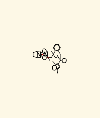 CCOC(=O)N1C2CCC1CC(N1CCC3(CC1)CN(C(=O)c1cc(C)oc1C)Cc1ccccc13)C2